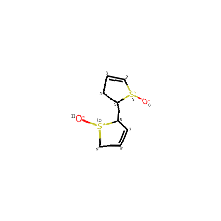 [O-][S+]1C=CCC1C1C=CC[S+]1[O-]